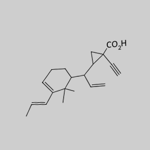 C#CC1(C(=O)O)CC1C(C=C)C1CCC=C(C=CC)C1(C)C